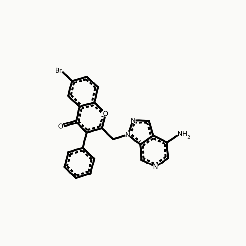 Nc1cncc2c1cnn2Cc1oc2ccc(Br)cc2c(=O)c1-c1ccccc1